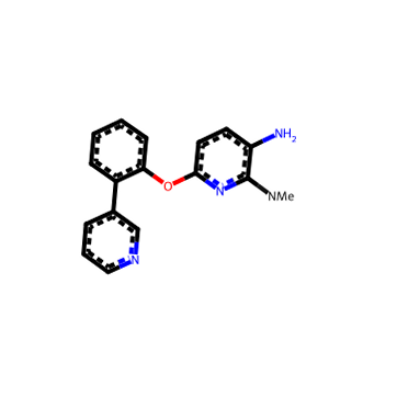 CNc1nc(Oc2ccccc2-c2cccnc2)ccc1N